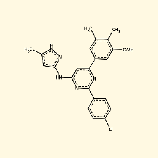 COc1cc(-c2cc(Nc3cc(C)[nH]n3)nc(-c3ccc(Cl)cc3)n2)cc(C)c1C